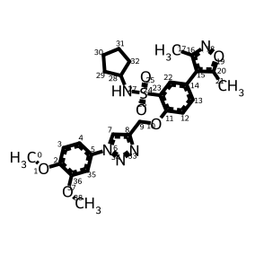 COc1ccc(-n2cc(COc3ccc(-c4c(C)noc4C)cc3S(=O)(=O)NC3CCCC3)nn2)cc1OC